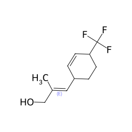 C/C(=C\C1C=CC(C(F)(F)F)CC1)CO